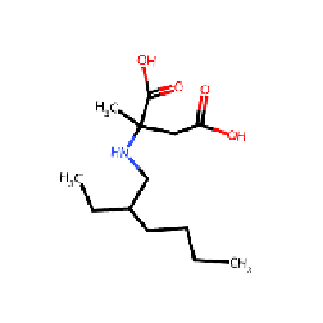 CCCCC(CC)CNC(C)(CC(=O)O)C(=O)O